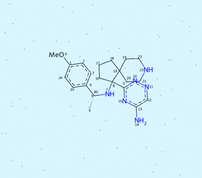 COc1ccc([C@@H](C)NC2(c3nncc(N)n3)CCCC23CCNCC3)cc1